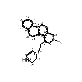 Fc1cc(CON2C=CNCC2)c2c(ccc3c4ccccc4ccc32)c1